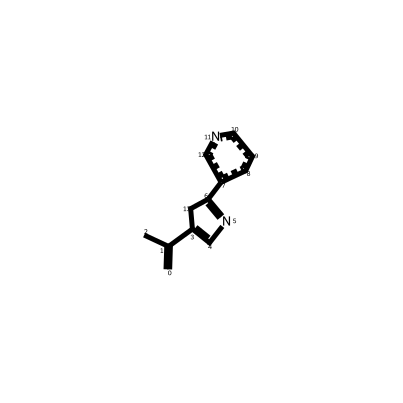 C=C(C)C1=CN=C(c2cccnc2)C1